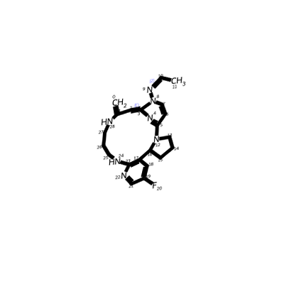 C=C1/C=C2\N=C(C=CN2/N=C\C)N2CCCC2c2cc(F)cnc2NCCCN1